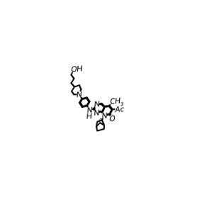 CC(=O)c1c(C)c2cnc(Nc3ccc(N4CCC(CCCO)CC4)cc3)nc2n([C@@H]2CC3CCC2C3)c1=O